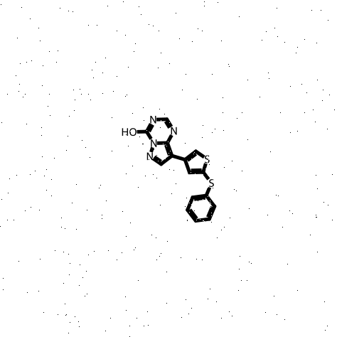 Oc1ncnc2c(-c3csc(Sc4ccccc4)c3)cnn12